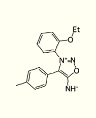 CCOc1ccccc1-[n+]1noc([NH-])c1-c1ccc(C)cc1